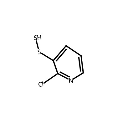 SSc1cccnc1Cl